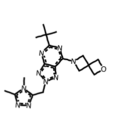 Cc1nnc(Cn2nc3nc(C(C)(C)C)nc(N4CC5(COC5)C4)c3n2)n1C